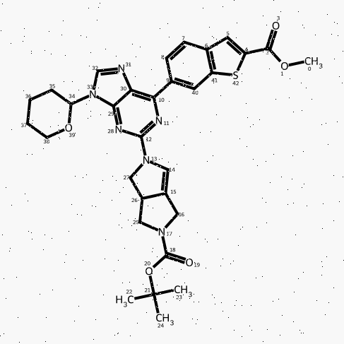 COC(=O)c1cc2ccc(-c3nc(N4C=C5CN(C(=O)OC(C)(C)C)CC5C4)nc4c3ncn4C3CCCCO3)cc2s1